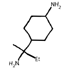 CCC(C)(N)C1CCC(N)CC1